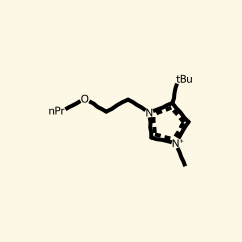 CCCOCCn1c[n+](C)cc1C(C)(C)C